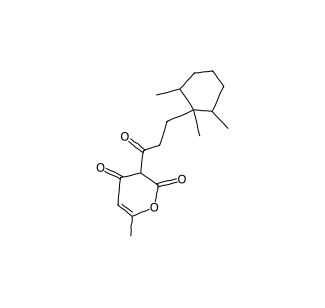 CC1=CC(=O)C(C(=O)CCC2(C)C(C)CCCC2C)C(=O)O1